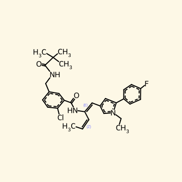 C/C=C\C(=C/c1cc(-c2ccc(F)cc2)n(CC)c1)NC(=O)c1cc(CNC(=O)C(C)(C)C)ccc1Cl